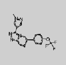 Cn1cc(-c2nnc3ccc(-c4ccc(OC(F)(F)F)cc4)cn23)cn1